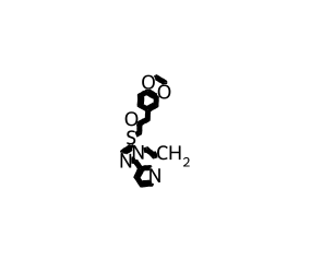 C=CCn1c(SCC(=O)Cc2ccc3c(c2)OCCO3)cnc1-c1cccnc1